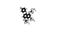 COc1cc(OC(C)=O)c2c(Sc3ccc(F)cc3)cccc2c1OC(C)=O